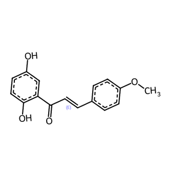 COc1ccc(/C=C/C(=O)c2cc(O)ccc2O)cc1